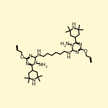 C=CCOC1=NC(NCCCCCCNC2N=C(OCC=C)N=C(C3CC(C)(C)NC(C)(C)C3)N2N)N(N)C(C2CC(C)(C)NC(C)(C)C2)=N1